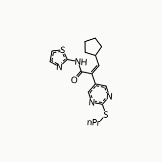 CCCSc1ncc(C(=CC2CCCC2)C(=O)Nc2nccs2)cn1